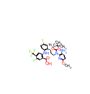 COc1ccc(N)c(N(CCCc2cc(F)ccc2Nc2cc(C(F)(F)F)c(F)cc2C(=O)O)C(=O)OC(C)(C)C)n1